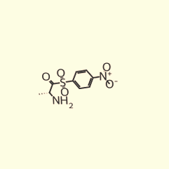 C[C@@H](N)C(=O)S(=O)(=O)c1ccc([N+](=O)[O-])cc1